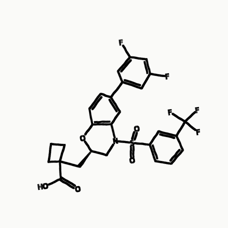 O=C(O)C1(C[C@@H]2CN(S(=O)(=O)c3cccc(C(F)(F)F)c3)c3cc(-c4cc(F)cc(F)c4)ccc3O2)CCC1